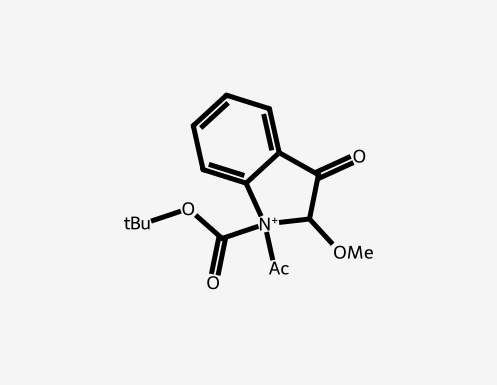 COC1C(=O)c2ccccc2[N+]1(C(C)=O)C(=O)OC(C)(C)C